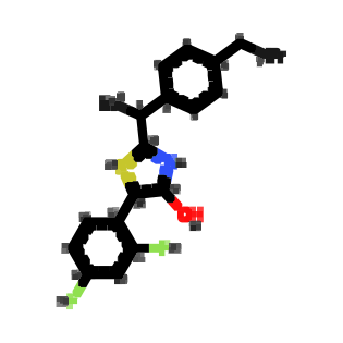 CCC(c1ccc(CC(C)C)cc1)c1nc(O)c(-c2ccc(F)cc2F)s1